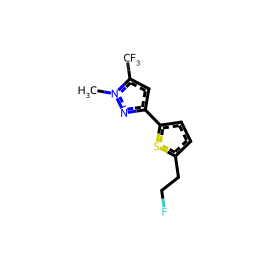 Cn1nc(-c2ccc(CCF)s2)cc1C(F)(F)F